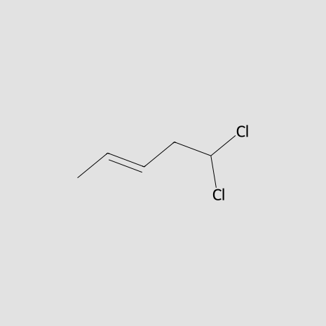 CC=CCC(Cl)Cl